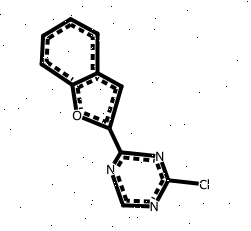 Clc1ncnc(-c2cc3ccccc3o2)n1